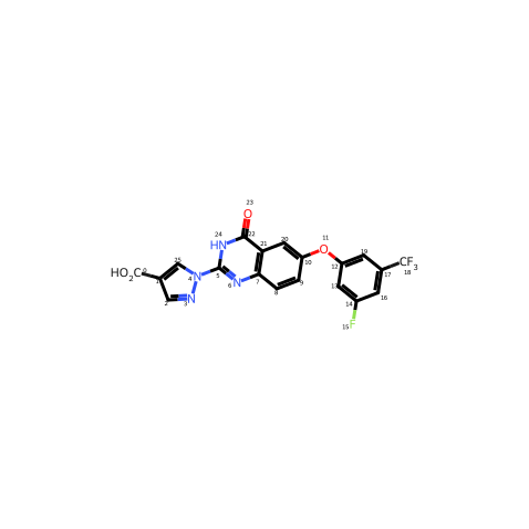 O=C(O)c1cnn(-c2nc3ccc(Oc4cc(F)cc(C(F)(F)F)c4)cc3c(=O)[nH]2)c1